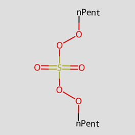 CCCCCOOS(=O)(=O)OOCCCCC